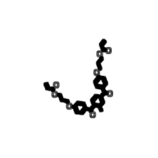 C=CC(=O)OCCCOc1ccc(C(=O)c2ccc(C(=O)c3ccc(OCCCOC(=O)C=C)cc3)c(C)c2)cc1